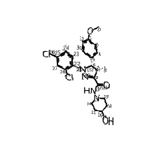 COc1ccc([C@@H]2[C@H](C)C(C(=O)NN3CCC(O)CC3)=NN2c2ccc(Cl)cc2Cl)cc1